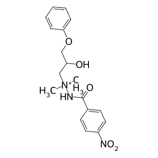 C[N+](C)(CC(O)COc1ccccc1)NC(=O)c1ccc([N+](=O)[O-])cc1